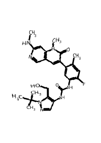 CNc1cc2c(cn1)cc(-c1cc(NC(=O)Nc3cnn(C(C)(C)C)c3CO)c(F)cc1C)c(=O)n2C